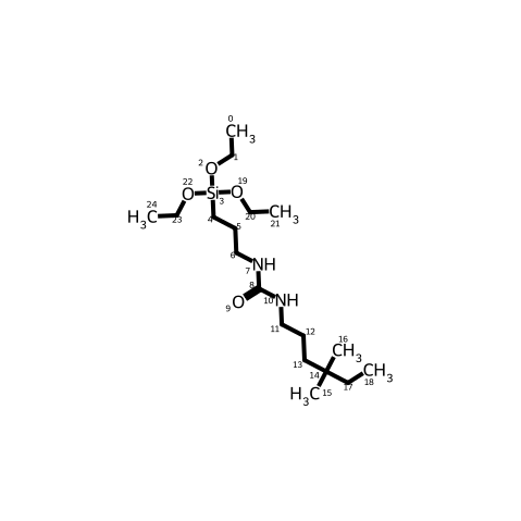 CCO[Si](CCCNC(=O)NCCCC(C)(C)CC)(OCC)OCC